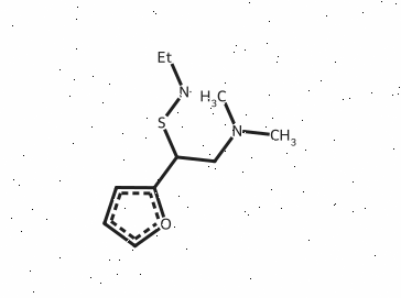 CC[N]SC(CN(C)C)c1ccco1